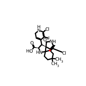 CC1(C)CCC2(CC1)N[C@@H](C(=O)O)C(C1=CCNC(Cl)=C1F)[C@]21C(=O)Nc2cc(Cl)ccc21